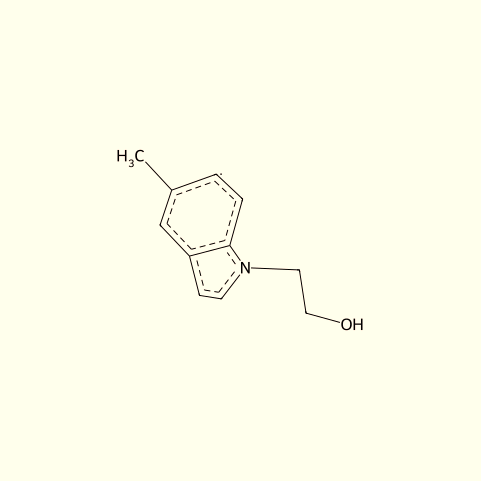 Cc1[c]cc2c(ccn2CCO)c1